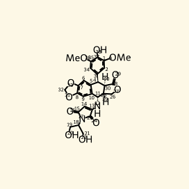 COc1cc([C@@H]2c3cc4c(cc3[C@@H](NC3=CC(=O)N(C(CO)CO)C3=O)[C@H]3COC(=O)[C@H]23)OCO4)cc(OC)c1O